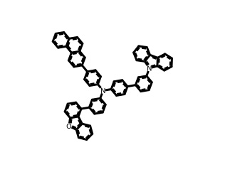 c1cc(-c2cccc3oc4ccccc4c23)cc(N(c2ccc(-c3cccc(-n4c5ccccc5c5ccccc54)c3)cc2)c2ccc(-c3ccc4c(ccc5ccccc54)c3)cc2)c1